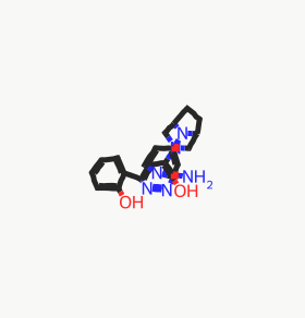 Nc1nnc(-c2ccccc2O)cc1N1CC2CCC(C1)N2c1ccnc(O)c1